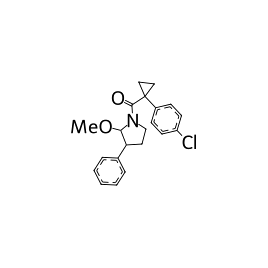 COC1C(c2ccccc2)CCN1C(=O)C1(c2ccc(Cl)cc2)CC1